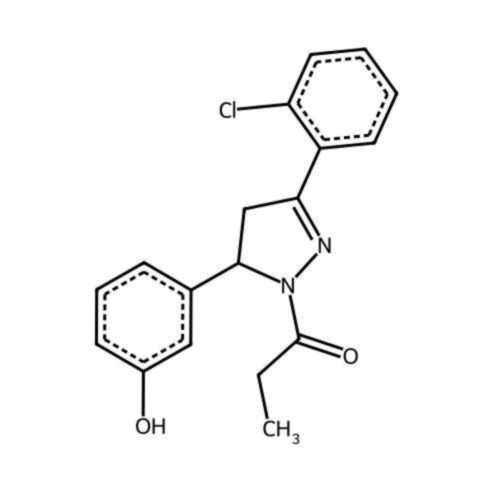 CCC(=O)N1N=C(c2ccccc2Cl)CC1c1cccc(O)c1